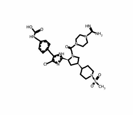 CS(=O)(=O)N1CCC([C@H]2C[C@@H](c3nc(Cl)c(-c4ccc(NC(=O)O)cc4)[nH]3)N(C(=O)N3CCN(C(=N)N)CC3)C2)CC1